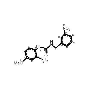 COc1ccc(NC(=S)NCc2cccc([N+](=O)[O-])c2)c(N)c1